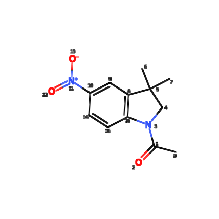 CC(=O)N1CC(C)(C)c2cc([N+](=O)[O-])ccc21